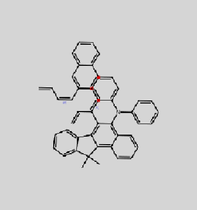 C=C/C=C\c1cc2ccccc2cc1/C=C(\C=C)c1c2c(c3ccccc3c1N(c1ccccc1)c1ccccc1)C(C)(C)c1ccccc1-2